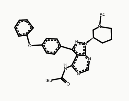 CC(=O)N1CCC[C@@H](n2nc(-c3ccc(Oc4ccccc4)cc3)c3c(NC(=O)C(C)(C)C)ncnc32)C1